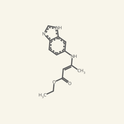 CCOC(=O)C=C(C)Nc1ccc2nc[nH]c2c1